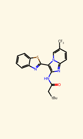 CC(C)(C)CC(=O)Nc1nc2ccc(C(F)(F)F)cn2c1-c1nc2ccccc2s1